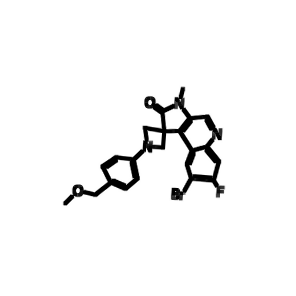 COCc1ccc(N2CC3(C2)C(=O)N(C)c2cnc4cc(F)c(Br)cc4c23)cc1